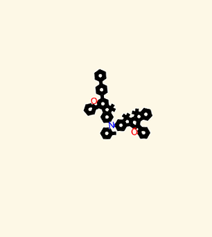 Cc1ccccc1N(c1ccc2c(c1)C(C)(C)c1cc(-c3ccc(-c4ccccc4)cc3)c3oc4ccccc4c3c1-2)c1ccc2c(c1)C(C)(C)c1c3c(c4c(oc5ccccc54)c1-2)-c1ccccc1C3(C)C